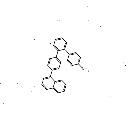 Nc1ccc(-c2ccccc2-c2ccc(-c3cccc4ccccc34)cc2)cc1